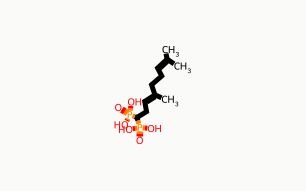 CC(C)=CCC/C(C)=C/CC(P(=O)(O)O)P(=O)(O)O